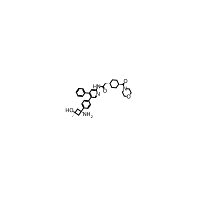 C[C@]1(O)C[C@@](N)(c2ccc(-c3cnc(NC(=O)C[C@H]4CC[C@H](C(=O)N5CCOCC5)CC4)cc3-c3ccccc3)cc2)C1